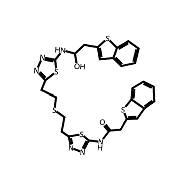 O=C(Cc1cc2ccccc2s1)Nc1nnc(CCSCCc2nnc(NC(O)Cc3cc4ccccc4s3)s2)s1